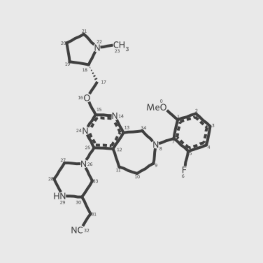 COc1cccc(F)c1N1CCCc2c(nc(OC[C@@H]3CCCN3C)nc2N2CCNC(CC#N)C2)C1